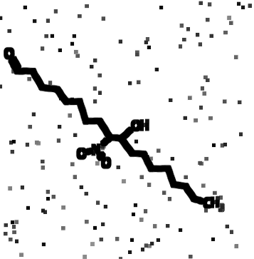 CCCCCCCCC(O)C(CCCCCCC[C]=O)[N+](=O)[O-]